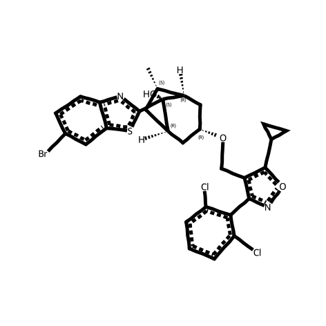 C[C@H]1C[C@@H]2C[C@@H](OCc3c(-c4c(Cl)cccc4Cl)noc3C3CC3)C[C@H]1[C@]2(O)c1nc2ccc(Br)cc2s1